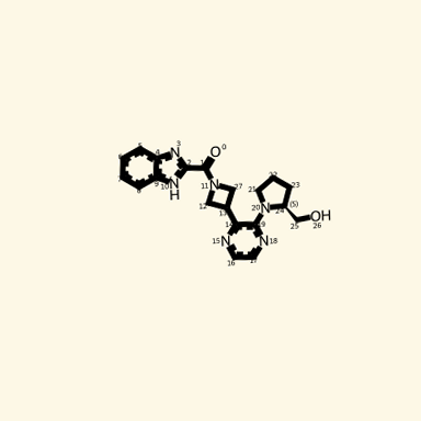 O=C(c1nc2ccccc2[nH]1)N1CC(c2nccnc2N2CCC[C@H]2CO)C1